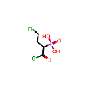 O=C(Cl)C(CCCl)P(=O)(O)O